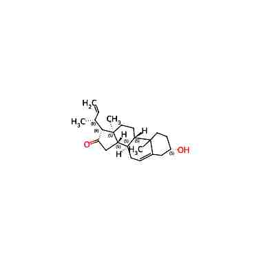 C=C[C@@H](C)[C@H]1C(=O)C[C@H]2[C@@H]3CC=C4C[C@@H](O)CCC4(C)[C@H]3CC[C@]12C